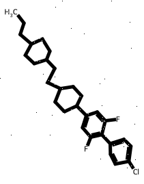 CCCC1CCC(CCC2CCC(c3cc(F)c(-c4ccc(Cl)cc4)c(F)c3)CC2)CC1